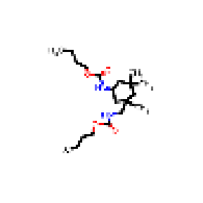 CCCCOC(=O)NCC1(C)CC(NC(=O)OCCCC)CC(C)(C)C1